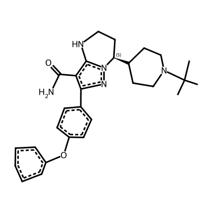 CC(C)(C)N1CCC([C@@H]2CCNc3c(C(N)=O)c(-c4ccc(Oc5ccccc5)cc4)nn32)CC1